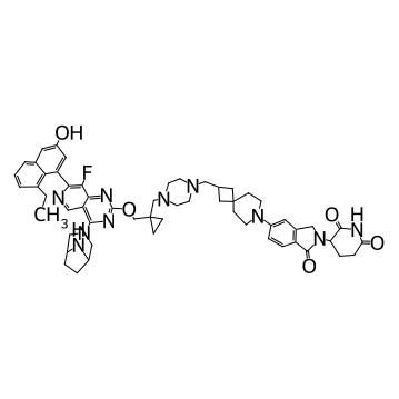 CCc1cccc2cc(O)cc(-c3ncc4c(N5CC6CCC(C5)N6)nc(OCC5(CN6CCN(CC7CC8(CCN(c9ccc%10c(c9)CN(C9CCC(=O)NC9=O)C%10=O)CC8)C7)CC6)CC5)nc4c3F)c12